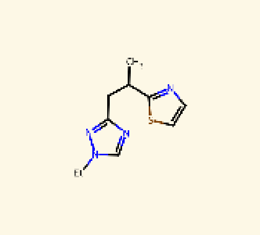 CCn1cnc(CC(C)c2nccs2)n1